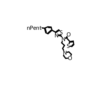 CCCCCc1ccc(-c2csc(N(CCCN3CCOCC3)C(=O)c3cccs3)n2)cc1